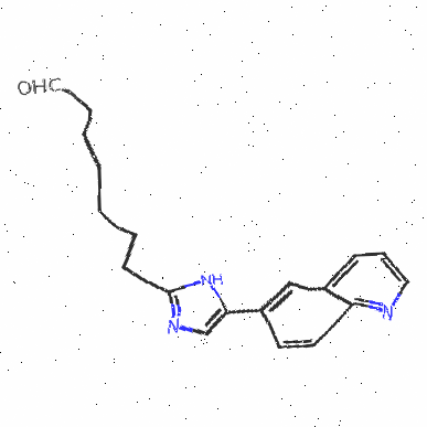 O=CCCCCCCc1ncc(-c2ccc3ncccc3c2)[nH]1